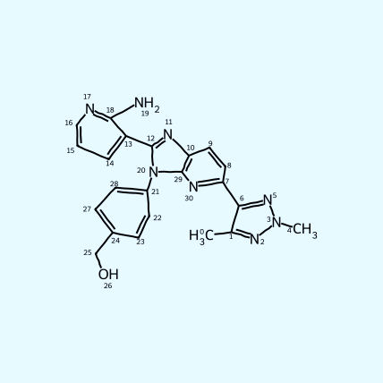 Cc1nn(C)nc1-c1ccc2nc(-c3cccnc3N)n(-c3ccc(CO)cc3)c2n1